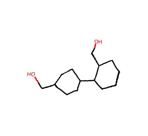 OCC1CCC(C2CCCCC2CO)CC1